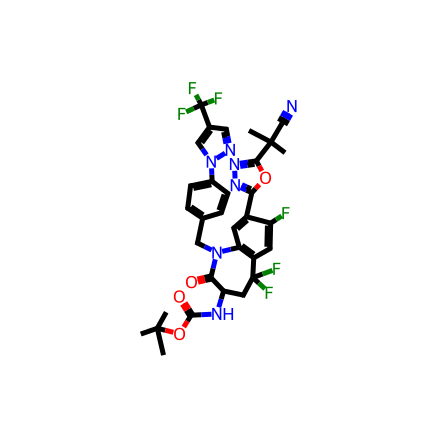 CC(C)(C)OC(=O)NC1CC(F)(F)c2cc(F)c(-c3nnc(C(C)(C)C#N)o3)cc2N(Cc2ccc(-n3cc(C(F)(F)F)cn3)cc2)C1=O